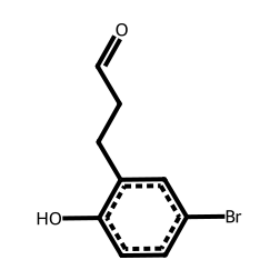 O=CCCc1cc(Br)ccc1O